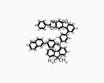 CC1(C)c2ccccc2-c2c(N(c3ccc(-c4ccc5ccccc5c4)cc3)c3ccc(-c4cccc5oc6cc7nc(-c8ccccc8)oc7cc6c45)cc3)cccc21